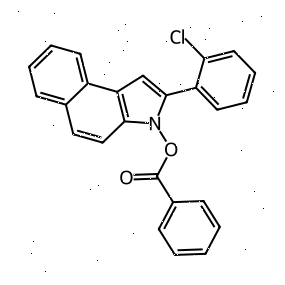 O=C(On1c(-c2ccccc2Cl)cc2c3ccccc3ccc21)c1ccccc1